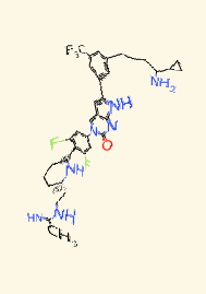 CC(=N)NCC[C@@H]1CCC[C@@H](c2c(F)cc(-n3cc4cc(-c5cc(CCCC(N)C6CC6)cc(C(F)(F)F)c5)[nH]c4nc3=O)cc2F)N1